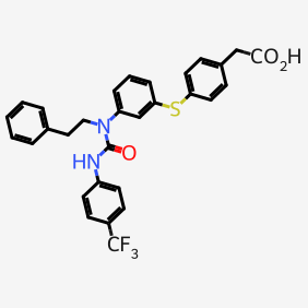 O=C(O)Cc1ccc(Sc2cccc(N(CCc3ccccc3)C(=O)Nc3ccc(C(F)(F)F)cc3)c2)cc1